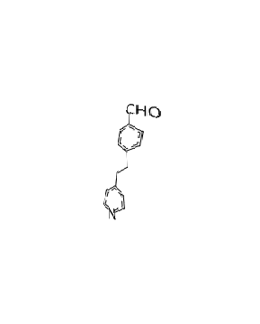 O=Cc1ccc(CCc2ccncc2)cc1